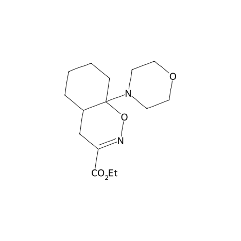 CCOC(=O)C1=NOC2(N3CCOCC3)CCCCC2C1